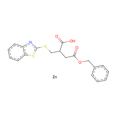 O=C(CC(CSc1nc2ccccc2s1)C(=O)O)OCc1ccccc1.[Zn]